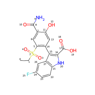 CCS(=O)(=O)c1cc(C(N)=O)c(O)cc1-c1c(C(=O)O)[nH]c2ccc(F)cc12